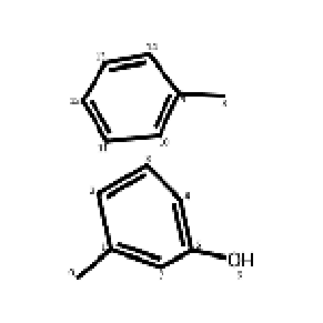 Cc1cccc(O)c1.Cc1ccccc1